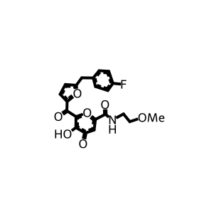 COCCNC(=O)c1cc(=O)c(O)c(C(=O)c2ccc(Cc3ccc(F)cc3)o2)o1